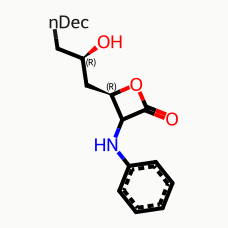 CCCCCCCCCCC[C@@H](O)C[C@H]1OC(=O)C1Nc1ccccc1